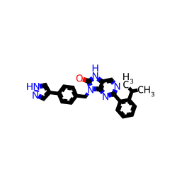 CC(C)c1ccccc1-c1ncc2[nH]c(=O)n(Cc3ccc(-c4cn[nH]c4)cc3)c2n1